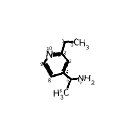 CCc1cc(C(C)N)ccn1